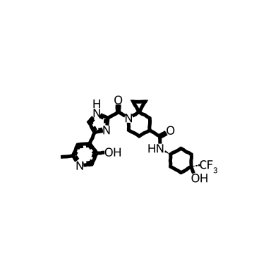 Cc1cc(-c2c[nH]c(C(=O)N3CCC(C(=O)N[C@H]4CC[C@@](O)(C(F)(F)F)CC4)CC34CC4)n2)c(O)cn1